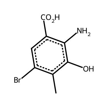 Cc1c(Br)cc(C(=O)O)c(N)c1O